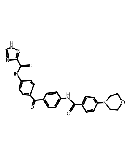 O=C(Nc1ccc(C(=O)c2ccc(NC(=O)c3nc[nH]n3)cc2)cc1)c1ccc(N2CCOCC2)cc1